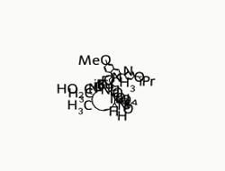 CCC(C)N(C(=O)O)[C@@H]1C(=O)N2[C@@H](C[C@@](C)(Oc3nc(-c4ccc(OC(C)C)cn4)cc4cc(OC)ccc34)C2(F)F)C(=O)N[C@]2(C(=O)NS(=O)(=O)C3CC3)C[C@H]2/C=C\CC[C@H](C)C[C@H]1C